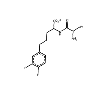 CC(C)C(N)C(=O)NC(CCCc1ccc(F)c(F)c1)C(=O)O